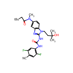 CN(C(=O)CC(C)(C)C)c1ccc2c(c1)nc(NC(=O)Nc1cc(F)c(C#N)cc1F)n2CCC(C)(C)O